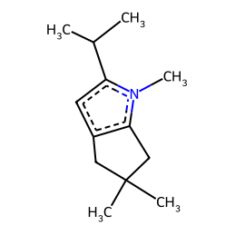 CC(C)c1cc2c(n1C)CC(C)(C)C2